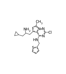 Cc1cc(CC(N)CC2CC2)c2c(NCc3cccs3)nc(Cl)nn12